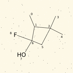 CC1C(C)(C)CC1(O)F